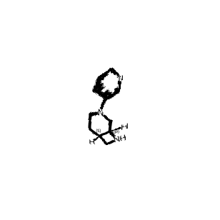 c1cncc(N2CC[C@H]3CN[C@H]3C2)c1